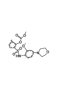 COC(=O)Oc1sccc1S(=O)(=O)Nc1ccc(N2CCOCC2)cc1OC